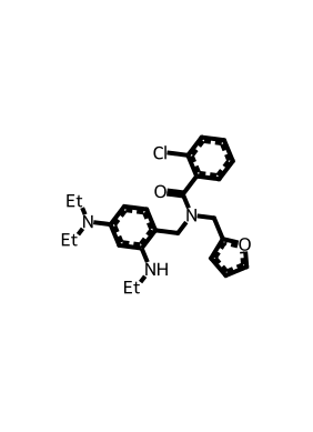 CCNc1cc(N(CC)CC)ccc1CN(Cc1ccco1)C(=O)c1ccccc1Cl